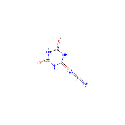 N=C=N.O=c1[nH]c(=O)[nH]c(=O)[nH]1